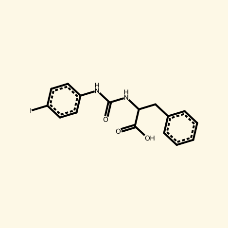 O=C(Nc1ccc(I)cc1)NC(Cc1ccccc1)C(=O)O